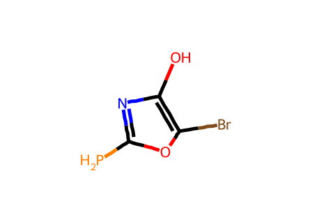 Oc1nc(P)oc1Br